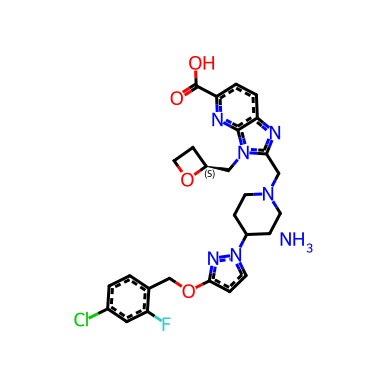 N.O=C(O)c1ccc2nc(CN3CCC(n4ccc(OCc5ccc(Cl)cc5F)n4)CC3)n(C[C@@H]3CCO3)c2n1